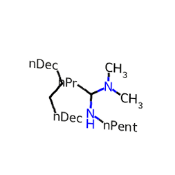 CCCCCCCCCCCCCCCCCCCCCC.CCCCCNC(CCC)N(C)C